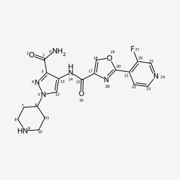 NC(=O)c1nn(C2CCNCC2)cc1NC(=O)c1coc(-c2ccncc2F)n1